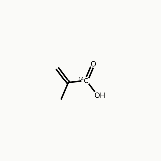 C=C(C)[14C](=O)O